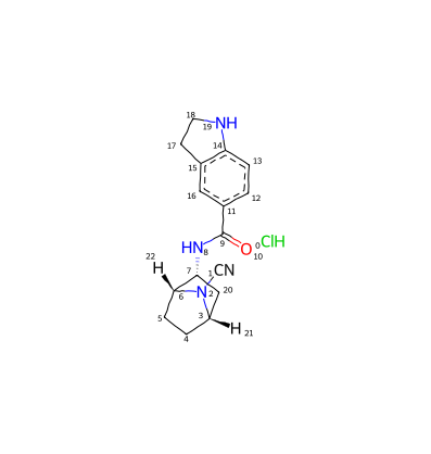 Cl.N#CN1[C@H]2CC[C@@H]1[C@H](NC(=O)c1ccc3c(c1)CCN3)C2